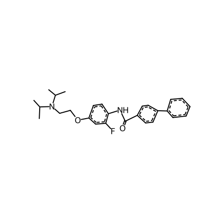 CC(C)N(CCOc1ccc(NC(=O)c2ccc(-c3ccccc3)cc2)c(F)c1)C(C)C